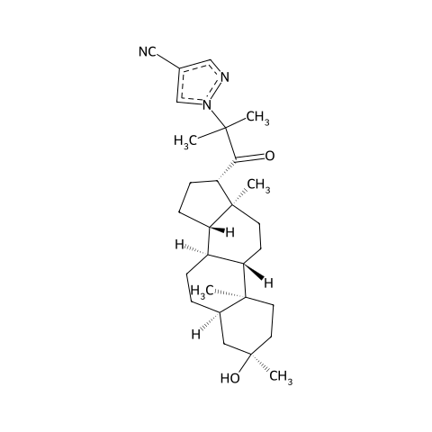 CC(C)(C(=O)[C@H]1CC[C@H]2[C@@H]3CC[C@@H]4C[C@](C)(O)CC[C@]4(C)[C@H]3CC[C@]12C)n1cc(C#N)cn1